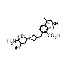 CCC(CC(C(N)=O)C(C)C)N1CC(Cc2ccc3c(c2C(=O)O)OBC[C@@H]3C)C1